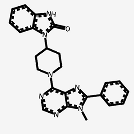 Cn1c(-c2ccccc2)nc2c(N3CCC(n4c(=O)[nH]c5ccccc54)CC3)ncnc21